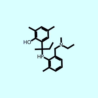 CCN(C)Cc1cccc(C)c1PC(C)(CC)c1cc(C)cc(C)c1O